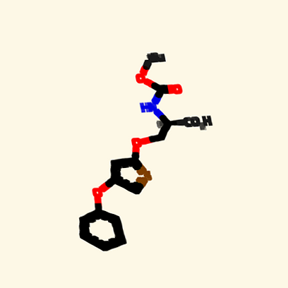 CC(C)(C)OC(=O)N[C@H](COc1cc(Oc2ccccc2)cs1)C(=O)O